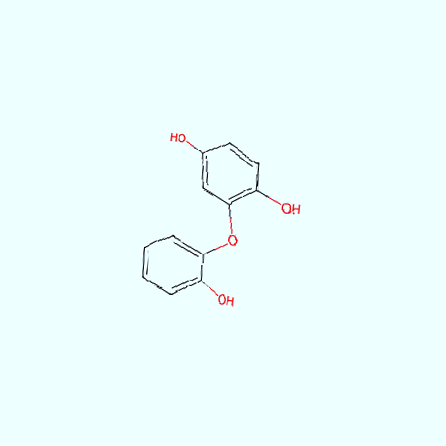 Oc1ccc(O)c(Oc2ccccc2O)c1